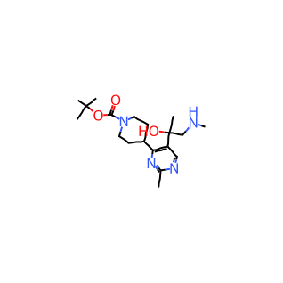 CNCC(C)(O)c1cnc(C)nc1C1CCN(C(=O)OC(C)(C)C)CC1